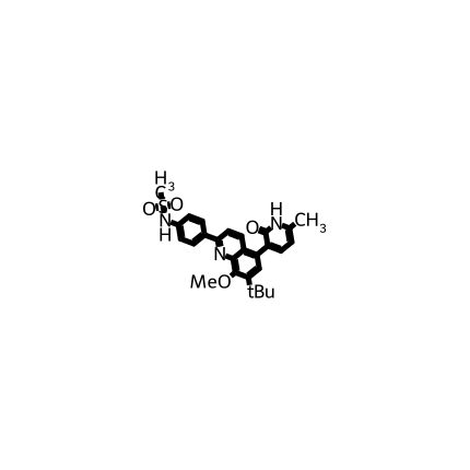 COc1c(C(C)(C)C)cc(-c2ccc(C)[nH]c2=O)c2ccc(-c3ccc(NS(C)(=O)=O)cc3)nc12